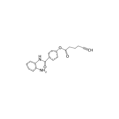 C#CCCCC(=O)Oc1ccc(C(=O)Nc2ccccc2N)cc1